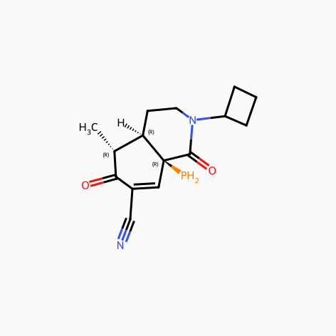 C[C@H]1C(=O)C(C#N)=C[C@@]2(P)C(=O)N(C3CCC3)CC[C@H]12